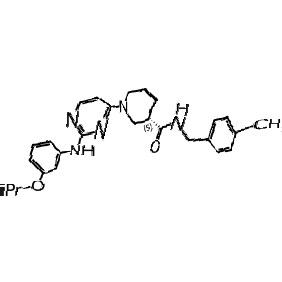 Cc1ccc(CNC(=O)[C@H]2CCCN(c3ccnc(Nc4cccc(OC(C)C)c4)n3)C2)cc1